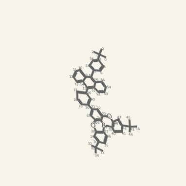 CC(C)(C)c1ccc(-c2c3ccccc3c(-c3cccc(-c4cc5c6c(c4)Oc4cc(C(C)(C)C)ccc4B6c4ccc(C(C)(C)C)cc4O5)c3)c3ccccc23)cc1